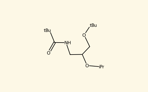 CC(C)OC(CNC(=O)C(C)(C)C)COC(C)(C)C